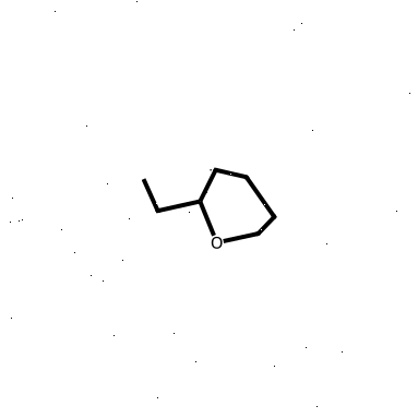 CCC1[CH]CCCO1